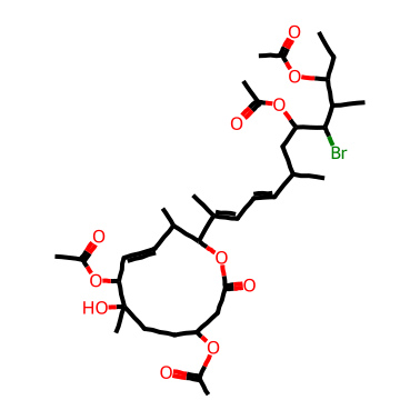 CCC(OC(C)=O)C(C)C(Br)C(CC(C)/C=C/C=C(\C)C1OC(=O)CC(OC(C)=O)CCC(C)(O)C(OC(C)=O)/C=C/C1C)OC(C)=O